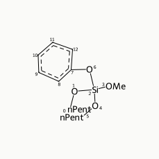 CCCCCO[Si](OC)(OCCCCC)Oc1ccccc1